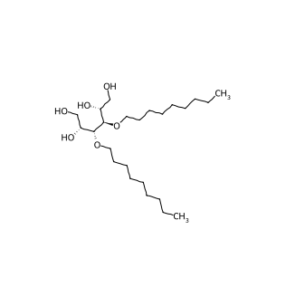 CCCCCCCCCO[C@@H]([C@H](OCCCCCCCCC)[C@H](O)CO)[C@H](O)CO